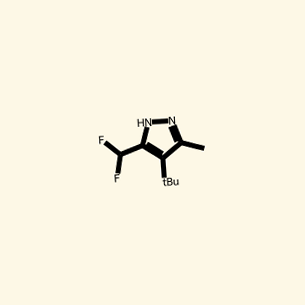 Cc1n[nH]c(C(F)F)c1C(C)(C)C